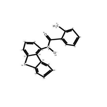 Cc1ccccc1C(=O)[S+]([O-])c1cccc2sc3ccccc3c12